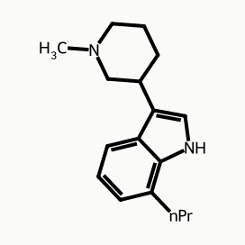 CCCc1cccc2c(C3CCCN(C)C3)c[nH]c12